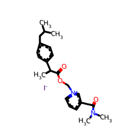 CC(C)Cc1ccc(C(C)C(=O)OC[n+]2cccc(C(=O)N(C)C)c2)cc1.[I-]